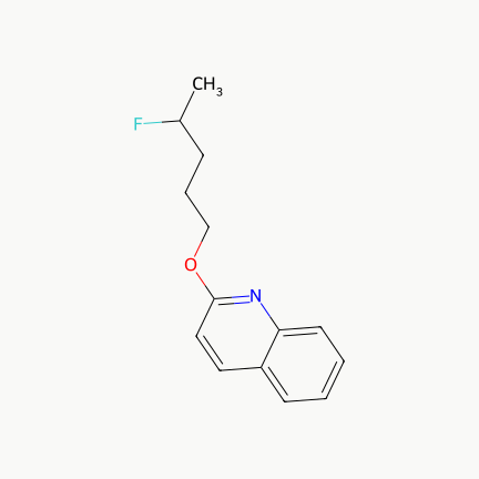 CC(F)CCCOc1ccc2ccccc2n1